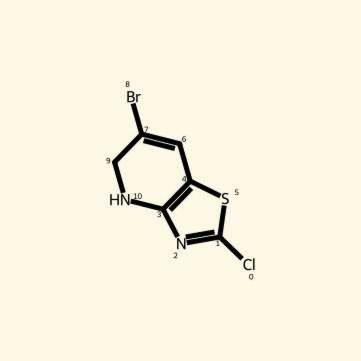 Clc1nc2c(s1)C=C(Br)CN2